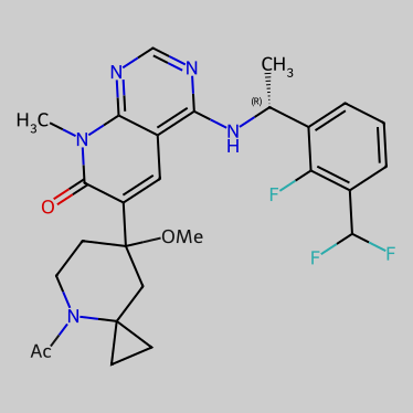 COC1(c2cc3c(N[C@H](C)c4cccc(C(F)F)c4F)ncnc3n(C)c2=O)CCN(C(C)=O)C2(CC2)C1